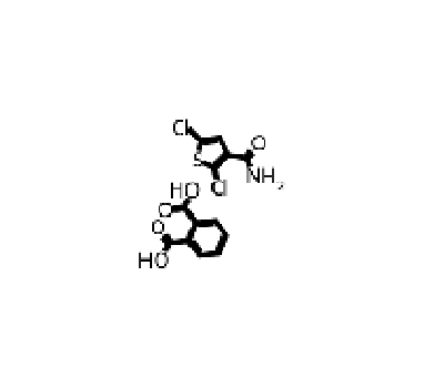 NC(=O)c1cc(Cl)sc1Cl.O=C(O)c1ccccc1C(=O)O